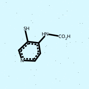 O=C(O)Nc1ccncc1S